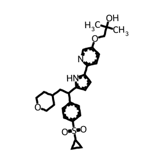 CC(C)(O)COc1ccc(-c2ccc(C(CC3CCOCC3)c3ccc(S(=O)(=O)C4CC4)cc3)[nH]2)nc1